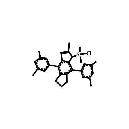 CC1=Cc2c(-c3cc(C)cc(C)c3)c3c(c(-c4cc(C)cc(C)c4)c2C1[Si](C)(C)Cl)CCC3